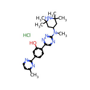 Cc1ccnc(-c2ccc(-c3cnc(N(C)C4CC(C)(C)NC(C)(C)C4)nn3)c(O)c2)n1.Cl